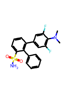 CN(C)c1c(F)cc(-c2cccc(S(N)(=O)=O)c2-c2ccccc2)cc1F